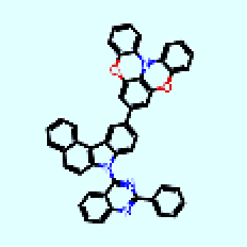 c1ccc(-c2nc(-n3c4ccc(-c5cc6c7c(c5)Oc5ccccc5N7c5ccccc5O6)cc4c4c5ccccc5ccc43)c3ccccc3n2)cc1